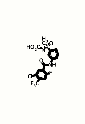 CS(=O)(=NC(=O)O)c1cccc(NC(=O)c2cc(Cl)c(C(F)(F)F)cc2F)c1